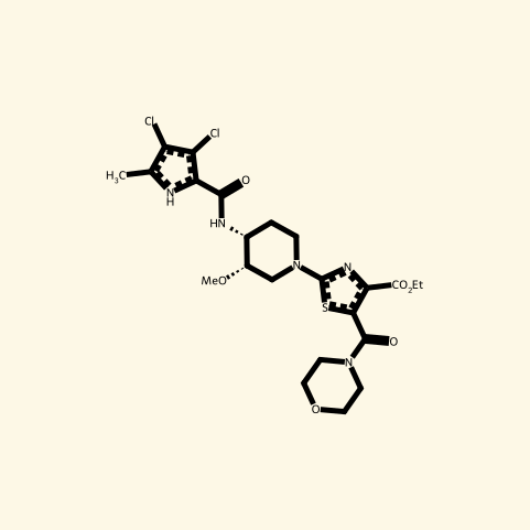 CCOC(=O)c1nc(N2CC[C@@H](NC(=O)c3[nH]c(C)c(Cl)c3Cl)[C@@H](OC)C2)sc1C(=O)N1CCOCC1